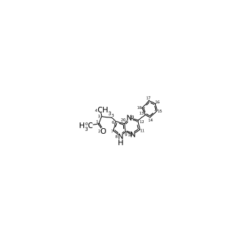 CC(=O)C(C)Cc1c[nH]c2ncc(-c3ccccc3)nc12